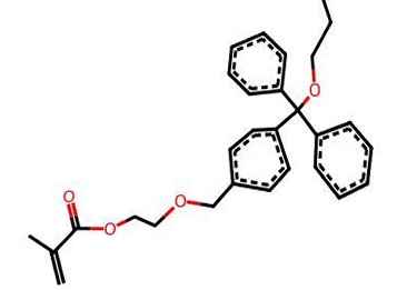 C=C(C)C(=O)OCCOCc1ccc(C(OCCC)(c2ccccc2)c2ccccc2)cc1